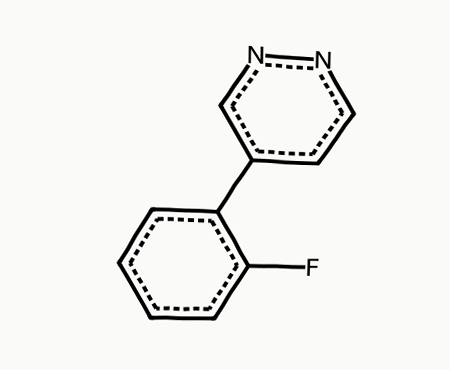 Fc1ccccc1-c1ccnnc1